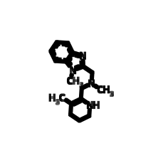 CC1=C(CN(C)Cc2nc3ccccc3n2C)NCCC1